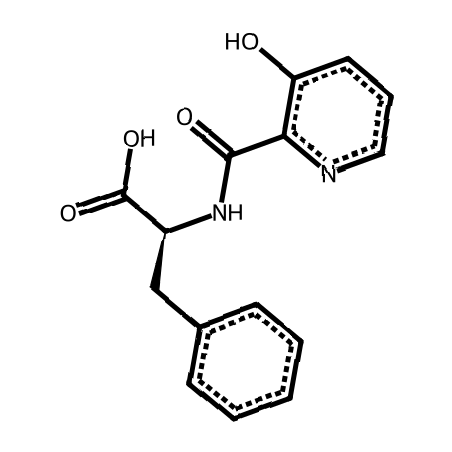 O=C(N[C@@H](Cc1ccccc1)C(=O)O)c1ncccc1O